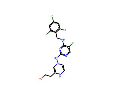 OCCC1=CN(Nc2ncc(Cl)c(NCc3c(F)cc(F)cc3F)n2)C=CN1